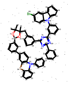 CC1(C)OB(c2cccc(-c3ccc4c(c3)Sc3ccccc3N4c3ccccc3)c2)OC1(C)Cc1cccc(-c2nc(-c3ccccc3)nc(-c3cccc(-n4c5ccccc5c5cc(Br)ccc54)c3)n2)c1